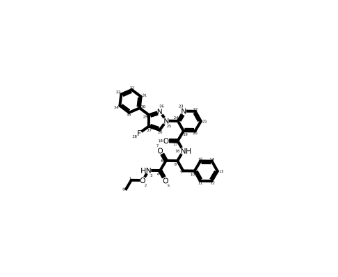 CCONC(=O)C(=O)C(Cc1ccccc1)NC(=O)c1cccnc1-n1cc(F)c(-c2ccccc2)n1